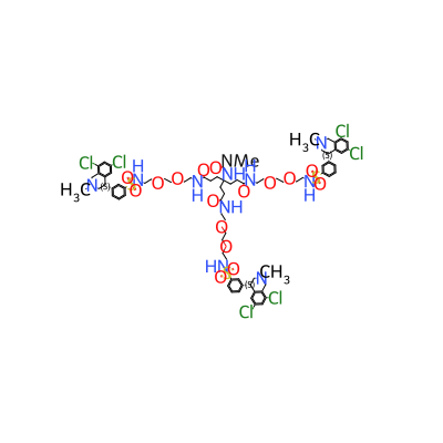 CNC(=O)NC(CCC(=O)NCCOCCOCCNS(=O)(=O)c1cccc([C@@H]2CN(C)Cc3c(Cl)cc(Cl)cc32)c1)(CCC(=O)NCCOCCOCCNS(=O)(=O)c1cccc([C@@H]2CN(C)Cc3c(Cl)cc(Cl)cc32)c1)CCC(=O)NCCOCCOCCNS(=O)(=O)c1cccc([C@@H]2CN(C)Cc3c(Cl)cc(Cl)cc32)c1